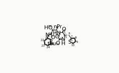 CCCC(NC(=O)[C@H](Cc1cccs1)NC(=O)OC(C)(C)C)C(O)c1nc2ccccc2o1